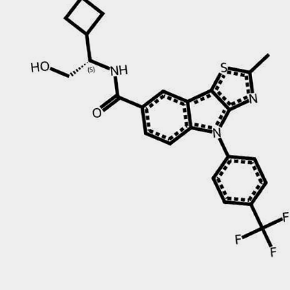 Cc1nc2c(s1)c1cc(C(=O)N[C@H](CO)C3CCC3)ccc1n2-c1ccc(C(F)(F)F)cc1